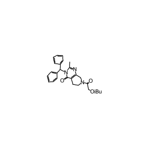 Cc1nc2c(c(=O)n1C(c1ccccc1)c1ccccc1)CCN(C(=O)COCC(C)C)C2